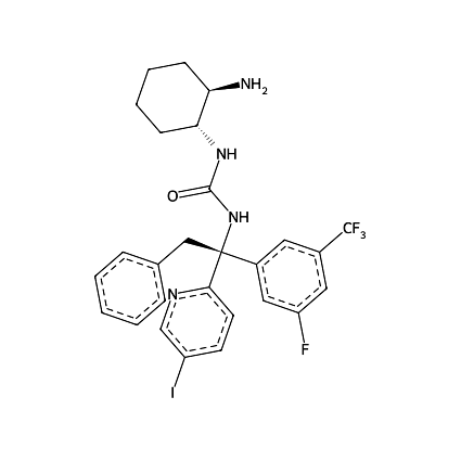 N[C@@H]1CCCC[C@H]1NC(=O)N[C@](Cc1ccccc1)(c1cc(F)cc(C(F)(F)F)c1)c1ccc(I)cn1